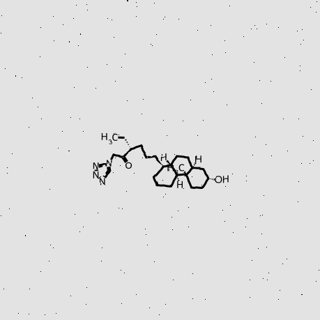 CC[C@H](CCC[C@@H]1CCC[C@H]2[C@H]1CC[C@H]1C[C@H](O)CC[C@@]12C)C(=O)Cn1cnnn1